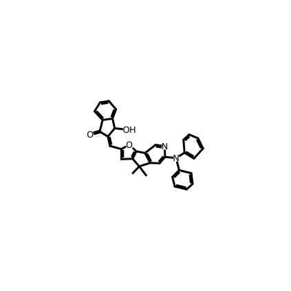 CC1(C)c2cc(N(c3ccccc3)c3ccccc3)ncc2-c2oc(/C=C3/C(=O)c4ccccc4C3O)cc21